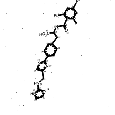 CCc1cc(F)cc(C)c1C(=O)NC(Cc1ccc(-c2nc(CNc3ncc[nH]3)cs2)cc1)C(=O)O